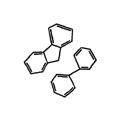 c1ccc(-c2ccccc2)cc1.c1ccc2c(c1)Cc1ccccc1-2